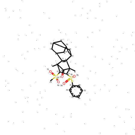 CC12C(=O)C(C)(C3=C1C1CC4CC(C1)CC3C4)C(S(=O)(=O)c1ccccc1)C2S(C)(=O)=O